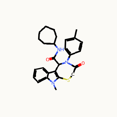 Cc1ccc(N2C(=O)CSc3c(c4ccccc4n3C)C2C(=O)NC2CCCCCC2)cc1